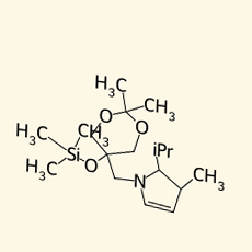 CC(C)C1C(C)C=CN1CC1(O[Si](C)(C)C)COC(C)(C)OC1